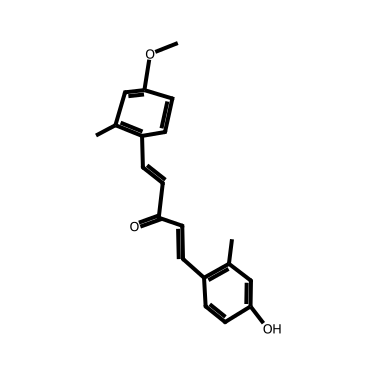 COc1ccc(/C=C/C(=O)/C=C/c2ccc(O)cc2C)c(C)c1